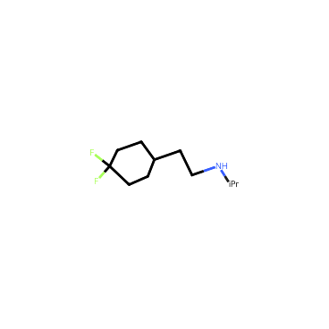 CC(C)NCCC1CCC(F)(F)CC1